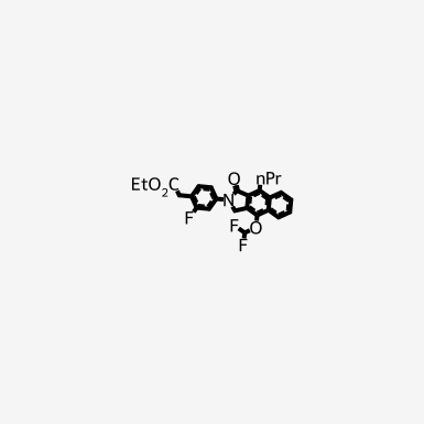 CCCc1c2c(c(OC(F)F)c3ccccc13)CN(c1ccc(CC(=O)OCC)c(F)c1)C2=O